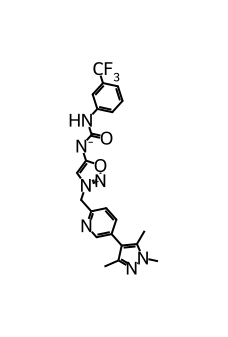 Cc1nn(C)c(C)c1-c1ccc(C[n+]2cc([N-]C(=O)Nc3cccc(C(F)(F)F)c3)on2)nc1